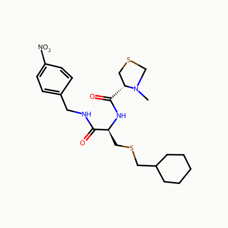 CN1CSC[C@H]1C(=O)N[C@@H](CSCC1CCCCC1)C(=O)NCc1ccc([N+](=O)[O-])cc1